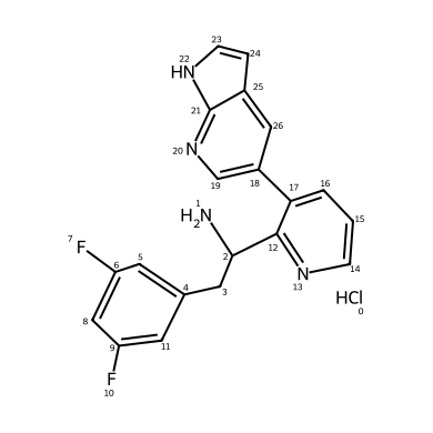 Cl.NC(Cc1cc(F)cc(F)c1)c1ncccc1-c1cnc2[nH]ccc2c1